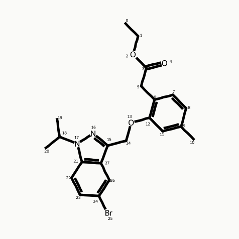 CCOC(=O)Cc1ccc(C)cc1OCc1nn(C(C)C)c2ccc(Br)cc12